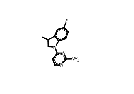 CC1CN(c2ccnc(N)n2)c2ccc(F)cc21